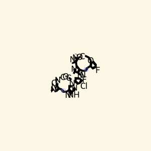 Cc1nc2cc3c(nn(-c4cc(N5CCOCCN(C)C(=O)c6nn(C)cc6/C=C/c6n[nH]c7cnc5cc67)cc(Cl)c4F)c13)/C=C/c1cc(F)ccc1OCCCOc1c-2cnn1C